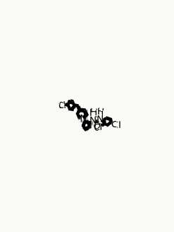 O=C(Nc1ccc(Cl)cc1Cl)N[C@@H]1CCC[C@H]1N1CCC(Cc2ccc(Cl)cc2)CC1